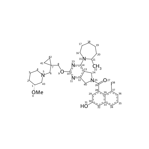 CO[C@@H]1CCCN(CC2(COc3nc4c(c(N5CCCCCC5C)n3)CN(C(=O)c3cc(O)cc5cccc(I)c35)C4)CC2)C1